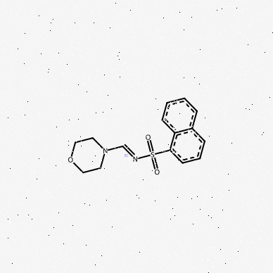 O=S(=O)(/N=C/N1CCOCC1)c1cccc2ccccc12